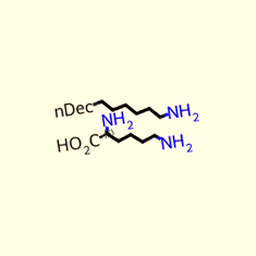 CCCCCCCCCCCCCCCCN.NCCCC[C@H](N)C(=O)O